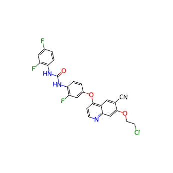 N#Cc1cc2c(Oc3ccc(NC(=O)Nc4ccc(F)cc4F)c(F)c3)ccnc2cc1OCCCl